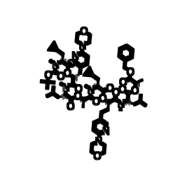 CC(C)C[C@@H](C(=O)O[C@H](C)C(=O)N(C)[C@@H](CC1CC1)C(=O)O[C@H](CCc1ccc(N2CCOCC2)nc1)C(=O)N(C)[C@@H](CC(C)C)C(=O)O[C@H](C)C(=O)OCc1ccccc1)N(C)C(=O)[C@@H](Cc1ccc(N2CCOCC2)nc1)OC(=O)[C@H](CC1CC1)N(C)C(=O)OC(C)(C)C